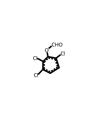 O=COc1c(Cl)ccc(Cl)c1Cl